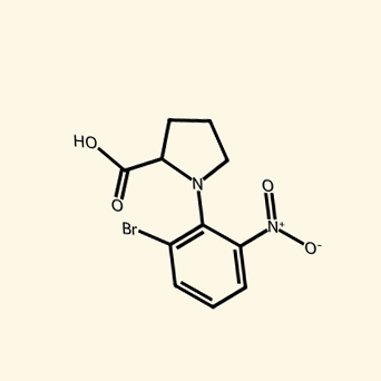 O=C(O)C1CCCN1c1c(Br)cccc1[N+](=O)[O-]